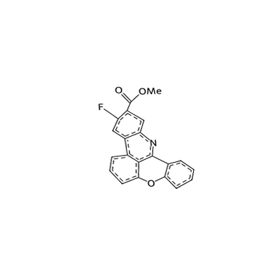 COC(=O)c1cc2nc3c4c(cccc4c2cc1F)Oc1ccccc1-3